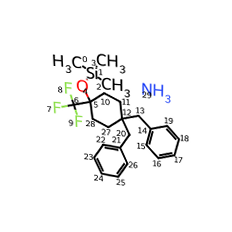 C[Si](C)(C)OC1(C(F)(F)F)CCC(Cc2ccccc2)(Cc2ccccc2)CC1.N